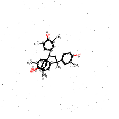 Cc1cc(C(C)(CC(c2cc(C)c(O)c(C)c2)c2cc(C)c(O)c(C)c2)c2ccc(O)c(C)c2)ccc1O